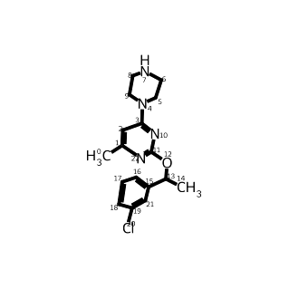 Cc1cc(N2CCNCC2)nc(OC(C)c2cccc(Cl)c2)n1